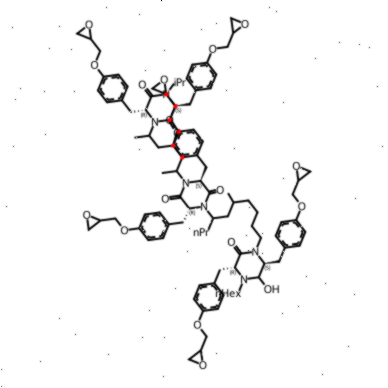 CCCCCCN1C(O)[C@H](Cc2ccc(OCC3CO3)cc2)N(CCCCC(C)CC(CCC)N2C(=O)[C@H](Cc3ccc(OCC4CO4)cc3)N(C(C)CC(C)CC(C)N3C(=O)[C@H](Cc4ccc(OCC5CO5)cc4)N(C(C)C)C(=O)[C@H]3Cc3ccc(OCC4CO4)cc3)C(=O)[C@H]2Cc2ccc(OCC3CO3)cc2)C(=O)[C@H]1Cc1ccc(OCC2CO2)cc1